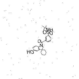 CC(C)(C)NS(=O)(=O)c1cccc(C(=O)N2CC3(CCCCC3)c3cc(O)ccc32)c1